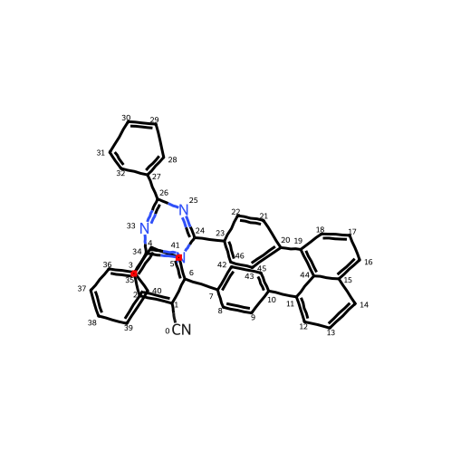 N#Cc1ccccc1-c1ccc(-c2cccc3cccc(-c4ccc(-c5nc(-c6ccccc6)nc(-c6ccccc6)n5)cc4)c23)cc1